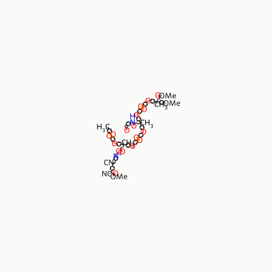 [C-]#[N+]/C(=C\c1cc[n+](CCOC(=O)CCC(C)(c2ccc(Oc3ccc(S(=O)(=O)c4ccc(C)cc4)cc3)cc2)c2ccc(Oc3ccc(S(=O)(=O)c4ccc(Oc5ccc(C(C)(CCC(=O)Nc6ccc7c(c6)C(=O)C7)c6ccc(Oc7ccc(S(=O)(=O)c8ccc(Oc9ccc(C(C)(CCC(=O)OC)c%10ccc(OC)cc%10)cc9)cc8)cc7)cc6)cc5)cc4)cc3)cc2)cc1)c1ccc(C(C#N)C(=O)OC)cc1